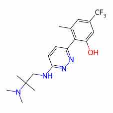 Cc1cc(C(F)(F)F)cc(O)c1-c1ccc(NCC(C)(C)N(C)C)nn1